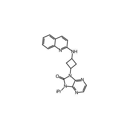 CC(C)n1c(=O)n(C2CC(Nc3ccc4ccccc4n3)C2)c2nccnc21